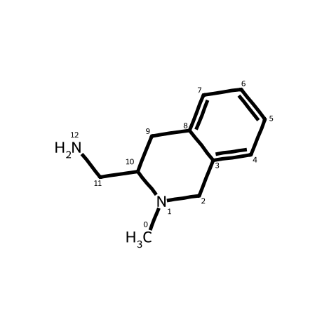 CN1Cc2ccccc2CC1CN